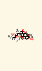 C/C(=C\[C@@H](O)C[C@@H](C)[C@H]1CC(=O)[C@@]2(C)C3=C(C(=O)[C@@H](O)[C@]12C)[C@@]1(C)CC[C@H](O)C(C)(C)[C@@H]1CC3=O)C(=O)O